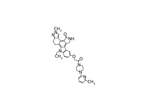 CCn1c2ccc(OCC(=O)N3CCN(c4cccc(C)n4)CC3)cc2c2c3c(c4c(c21)CCc1nn(C)cc1-4)C(=O)NC3